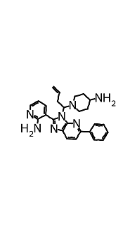 C=CCC(N1CCC(N)CC1)n1c(-c2cccnc2N)nc2ccc(-c3ccccc3)nc21